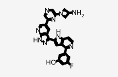 NC1CN(c2cncc(-c3cnc4[nH]nc(-c5cc6c(-c7cc(O)cc(F)c7)nccc6[nH]5)c4c3)n2)C1